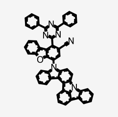 N#Cc1cc(-n2c3ccccc3c3c4c5cccc6c7ccccc7n(c4ccc32)c65)c2oc3ccccc3c2c1-c1nc(-c2ccccc2)nc(-c2ccccc2)n1